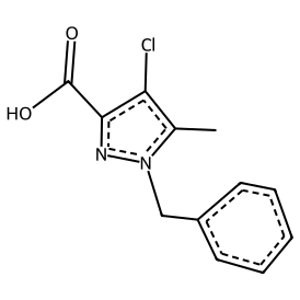 Cc1c(Cl)c(C(=O)O)nn1Cc1ccccc1